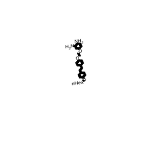 CCCCCCOc1ccc(C=Cc2ccc(OCCOc3ccc(N)c(N)c3)cc2)cc1